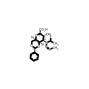 C/N=N\N(C(C)F)[C@@H]1[C@@H](O)[C@H](C(=O)O)O[C@@H]2CO[C@H](c3ccccc3)O[C@H]12